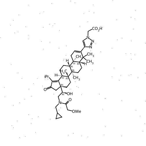 COCC(=O)N(CC1CC1)C[C@H](O)[C@@]12CC[C@]3(C)[C@H](CC[C@@H]4[C@@]5(C)CC=C(c6cn(CC(=O)O)nn6)C(C)(C)[C@@H]5CC[C@]43C)C1=C(C(C)C)C(=O)C2